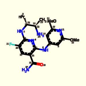 CCC[C@@H](Nc1nc(Nc2cc(OC)nc(OC)c2)c(C(N)=O)cc1F)[C@H](C)N